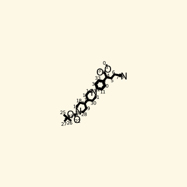 COC(=O)C(CCC#N)c1ccc(N2CCC(C3CCN(C(=O)OC(C)(C)C)CC3)CC2)cc1